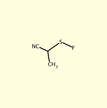 CC(C#N)SF